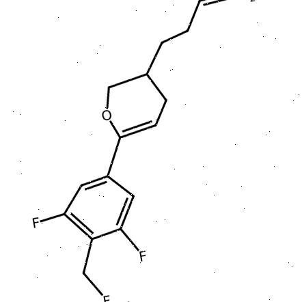 C=CCCC1CC=C(c2cc(F)c(CF)c(F)c2)OC1